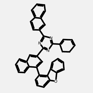 C1=CCCC(c2nc(-c3ccc4ccccc4c3)nc(-c3cc(-c4cccc5oc6ccccc6c45)c4ccccc4c3)n2)=C1